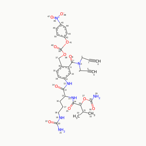 C#CCN(CC#C)C(=O)c1cc(NC(=O)C(CCCNC(N)=O)NC(=O)C(OC(N)=O)C(C)C)ccc1COC(=O)Oc1ccc([N+](=O)[O-])cc1